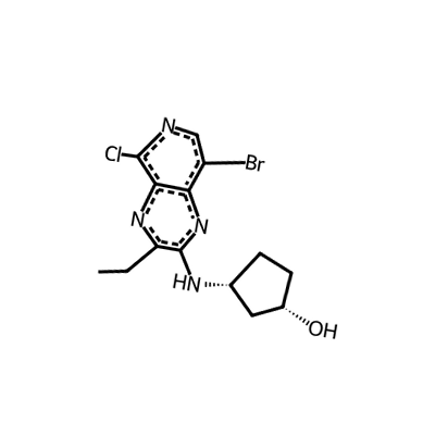 CCc1nc2c(Cl)ncc(Br)c2nc1N[C@@H]1CC[C@H](O)C1